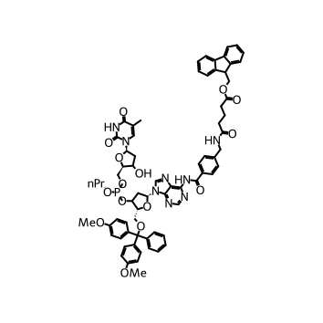 CCCOP(OC[C@H]1O[C@@H](n2cc(C)c(=O)[nH]c2=O)CC1O)OC1C[C@H](n2cnc3c(NC(=O)c4ccc(CNC(=O)CCCC(=O)OCC5c6ccccc6-c6ccccc65)cc4)ncnc32)O[C@@H]1COC(c1ccccc1)(c1ccc(OC)cc1)c1ccc(OC)cc1